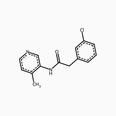 Cc1ccncc1NC(=O)Cc1cccc(Cl)c1